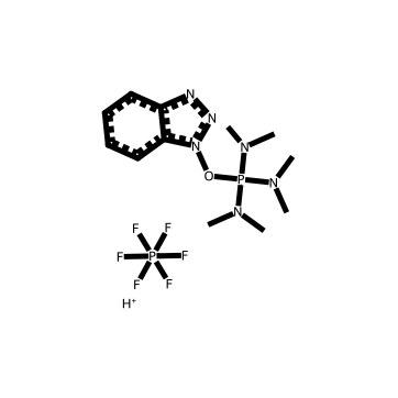 CN(C)[P](On1nnc2ccccc21)(N(C)C)N(C)C.F[P-](F)(F)(F)(F)F.[H+]